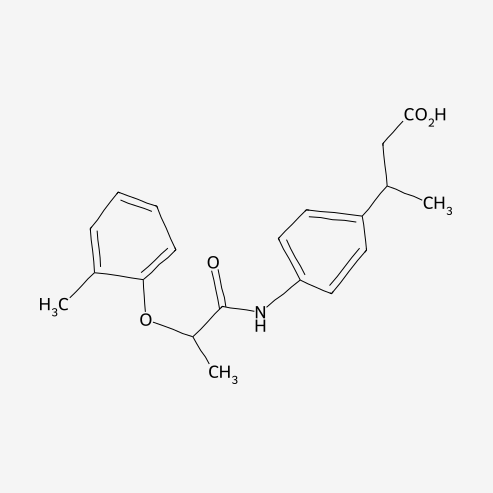 Cc1ccccc1OC(C)C(=O)Nc1ccc(C(C)CC(=O)O)cc1